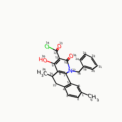 Cc1ccc2c(c1)-c1c(c(O)c(C(=O)Cl)c(=O)n1Cc1ccccc1)C(C)C2